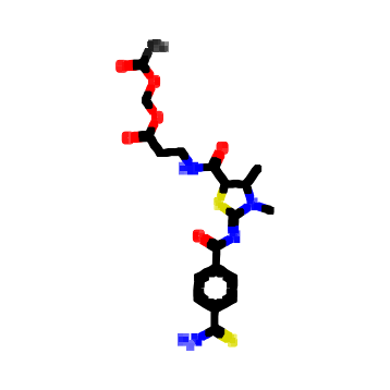 CC1C(C(=O)NCCC(=O)OCOC(=O)C(C)(C)C)SC(=NC(=O)c2ccc(C(N)=S)cc2)N1C